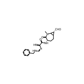 CN1C(=O)[C@@H](NC(=O)C(=N)/N=C\NCc2ccccc2)CCC2C1[C@@H]2C=O